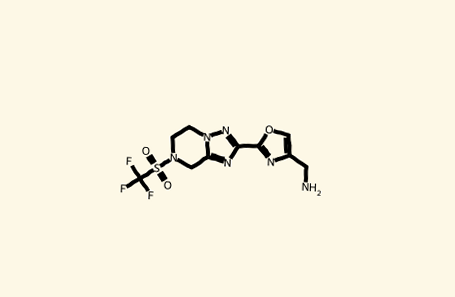 NCc1coc(-c2nc3n(n2)CCN(S(=O)(=O)C(F)(F)F)C3)n1